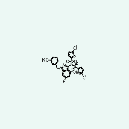 COc1cc(F)cc2c1c(N(S(=O)(=O)c1ccc(Cl)s1)S(=O)(=O)c1ccc(Cl)s1)nn2Cc1cccc(C#N)c1